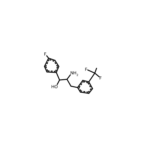 CC(F)(F)c1cccc(CC(N)C(O)c2ccc(F)cc2)c1